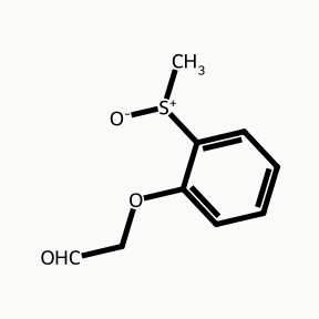 C[S+]([O-])c1ccccc1OCC=O